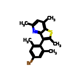 Cc1cc(C)c2sc(C)c(-c3c(C)cc(Br)cc3C)c2n1